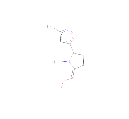 COC=C1CCC(c2cc(C)no2)N1C